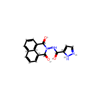 O=C(NN1C(=O)c2cccc3cccc(c23)C1=O)c1ccn[nH]1